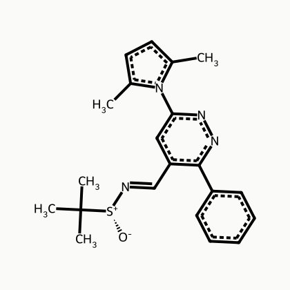 Cc1ccc(C)n1-c1cc(/C=N/[S@+]([O-])C(C)(C)C)c(-c2ccccc2)nn1